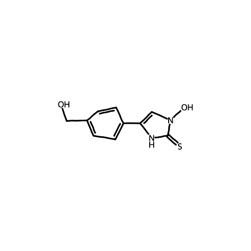 OCc1ccc(-c2cn(O)c(=S)[nH]2)cc1